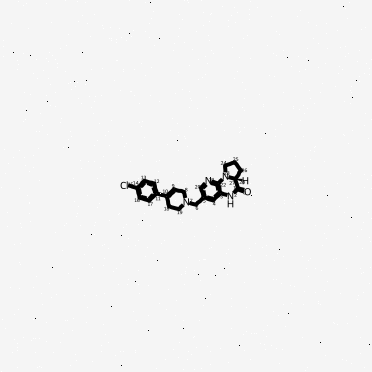 O=C1Nc2cc(CN3CC=C(c4ccc(Cl)cc4)CC3)cnc2N2CCC[C@H]12